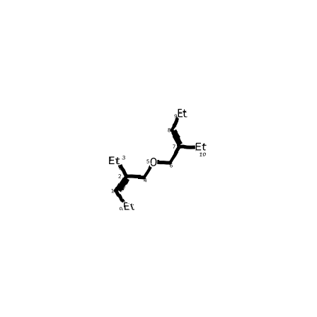 CCC=C(CC)COCC(=CCC)CC